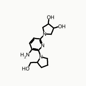 Nc1ccc(N2CC(O)C(O)C2)nc1N1CCCC1CO